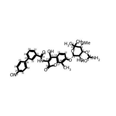 CO[C@@H]1[C@@H](OC(N)O)[C@@H](O)[C@H](Oc2ccc3c(O)c(NC(=O)c4cccc(-c5ccc(N=O)cc5)c4)c(=O)oc3c2C)OC1(C)C